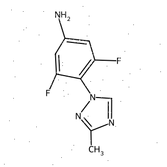 Cc1ncn(-c2c(F)cc(N)cc2F)n1